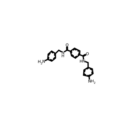 Nc1ccc(CNC(=O)c2ccc(C(=O)NCc3ccc(N)cc3)cc2)cc1